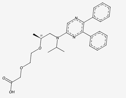 CC(C)N(C[C@H](C)OCCOCC(=O)O)c1cnc(-c2ccccc2)c(-c2ccccc2)n1